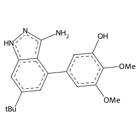 COc1cc(-c2cc(C(C)(C)C)cc3[nH]nc(N)c23)cc(O)c1OC